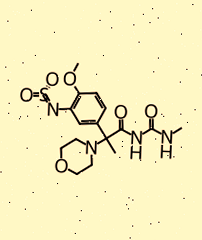 CNC(=O)NC(=O)C(C)(c1ccc(OC)c(N=S(=O)=O)c1)N1CCOCC1